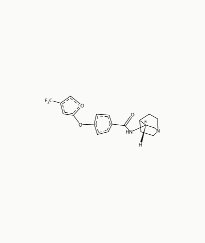 O=C(N[C@H]1CN2CCC1CC2)c1ccc(Oc2cc(C(F)(F)F)co2)cc1